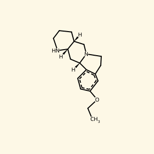 CCOc1ccc2c(c1)CCN1C[C@H]3CCCN[C@H]3C[C@@H]21